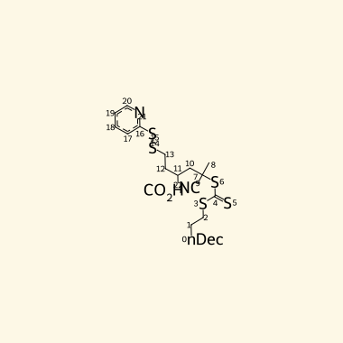 CCCCCCCCCCCCSC(=S)SC(C)(C#N)CC(CCSSc1ccccn1)C(=O)O